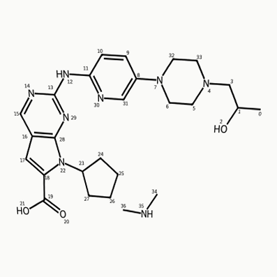 CC(O)CN1CCN(c2ccc(Nc3ncc4cc(C(=O)O)n(C5CCCC5)c4n3)nc2)CC1.CNC